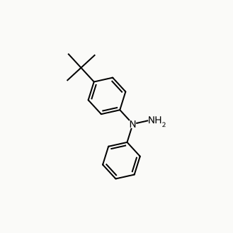 CC(C)(C)c1ccc(N(N)c2ccccc2)cc1